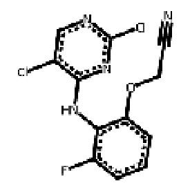 N#CCOc1cccc(F)c1Nc1nc(Cl)ncc1Cl